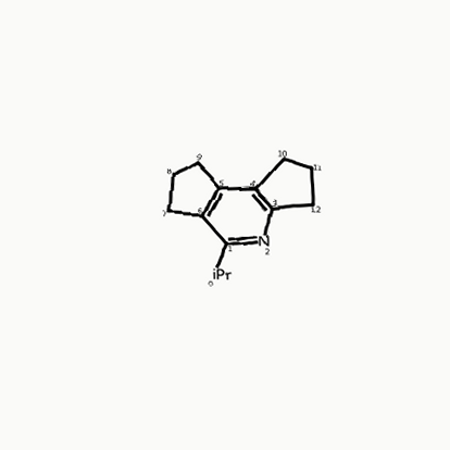 CC(C)c1nc2c(c3c1CCC3)CCC2